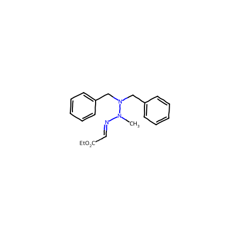 CCOC(=O)C=NN(C)N(Cc1ccccc1)Cc1ccccc1